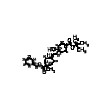 CC(C)(C)OC(=O)N1CCC(O)(CNC2CCC(C)(C(=O)OCc3ccccc3)CC2)CC1